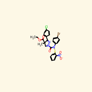 CCOC(=O)C1(C)CN(C(=O)N(Sc2ccccc2[N+](=O)[O-])c2ccc(Br)cc2)N=C1c1ccc(Cl)cc1